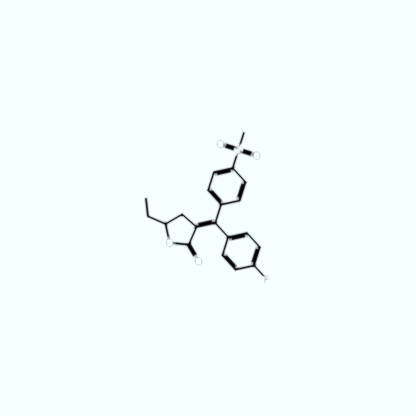 CCC1C/C(=C(/c2ccc(F)cc2)c2ccc(S(C)(=O)=O)cc2)C(=O)O1